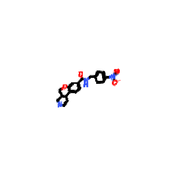 O=C(NCc1ccc([N+](=O)[O-])cc1)c1ccc2c(c1)OCc1cnccc1-2